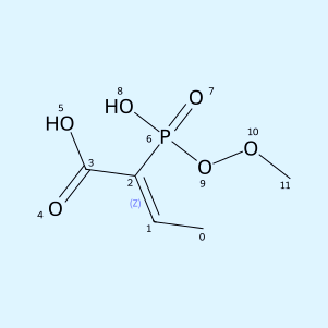 C/C=C(/C(=O)O)P(=O)(O)OOC